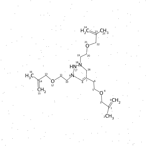 C=C(C)COCCC1=CN(CCOCC(=C)C)NN(CCOCC(=C)C)C1